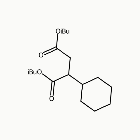 CC(C)COC(=O)CC(C(=O)OCC(C)C)C1CCCCC1